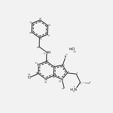 C[C@H](N)Cc1c(F)c2c(NCc3ccccc3)nc(Cl)nc2n1C.Cl